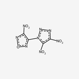 O=[N+]([O-])c1nonc1-n1nnc([N+](=O)[O-])c1[N+](=O)[O-]